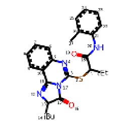 CCC(SC1=Nc2ccccc2C2=NC(C(C)CC)C(=O)N12)C(=O)Nc1ccccc1C